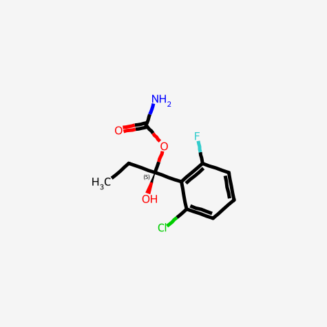 CC[C@](O)(OC(N)=O)c1c(F)cccc1Cl